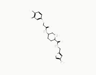 O=C(COc1ccc(Cl)c(F)c1)NC1CCC(C(=O)NCc2cc(C(F)(F)F)co2)NC1